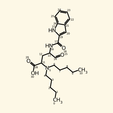 CCCCCN(CCCCC)C(CC(C=O)NC(=O)c1cc2ccccc2[nH]1)C(=O)O